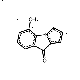 O=C1c2cccc(O)c2-n2cccc21